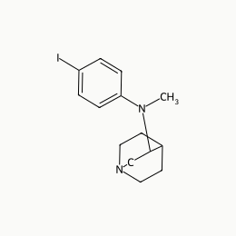 CN(c1ccc(I)cc1)C1CN2CCC1CC2